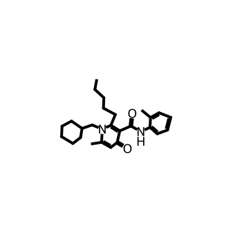 CCCCCc1c(C(=O)Nc2ccccc2C)c(=O)cc(C)n1CC1CCCCC1